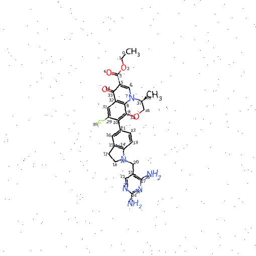 CCOC(=O)c1cn2c3c(c(-c4ccc5c(c4)CCN5Cc4cnc(N)nc4N)c(F)cc3c1=O)OC[C@@H]2C